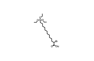 CCO[Si](CCCCCCCCCCCC(Br)C(=O)O)(OCC)OCC